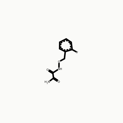 NC(=O)C(=O)NOCc1ccccc1F